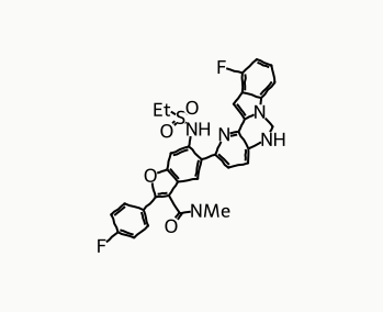 CCS(=O)(=O)Nc1cc2oc(-c3ccc(F)cc3)c(C(=O)NC)c2cc1-c1ccc2c(n1)-c1cc3c(F)cccc3n1CN2